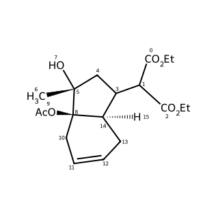 CCOC(=O)C(C(=O)OCC)C1C[C@@](C)(O)[C@@]2(OC(C)=O)CC=CC[C@H]12